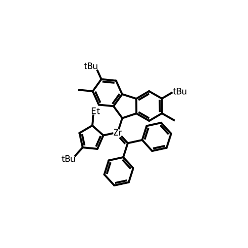 CCC1C=C(C(C)(C)C)C=[C]1[Zr](=[C](c1ccccc1)c1ccccc1)[CH]1c2cc(C)c(C(C)(C)C)cc2-c2cc(C(C)(C)C)c(C)cc21